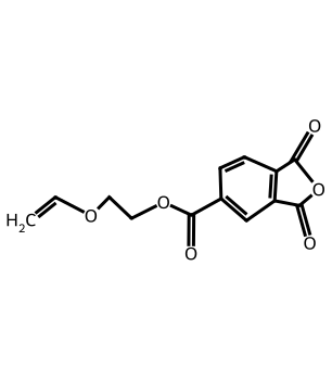 C=COCCOC(=O)c1ccc2c(c1)C(=O)OC2=O